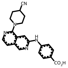 N#CC1CCN(c2nccc3cnc(Nc4ccc(C(=O)O)cc4)cc23)CC1